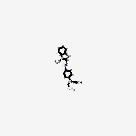 C#CN(CC)c1ccc(/N=N/c2sc3ccccc3[n+]2C)cc1